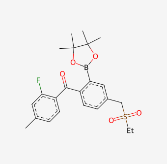 CCS(=O)(=O)Cc1ccc(C(=O)c2ccc(C)cc2F)c(B2OC(C)(C)C(C)(C)O2)c1